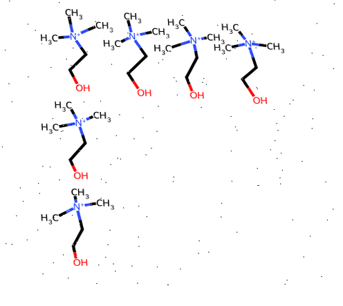 C[N+](C)(C)CCO.C[N+](C)(C)CCO.C[N+](C)(C)CCO.C[N+](C)(C)CCO.C[N+](C)(C)CCO.C[N+](C)(C)CCO